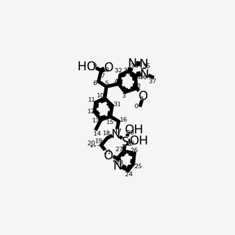 COc1cc(C(CC(=O)O)c2ccc(C)c(CN3C[C@@H](C)Oc4ncccc4S3(O)O)c2)cc2nnn(C)c12